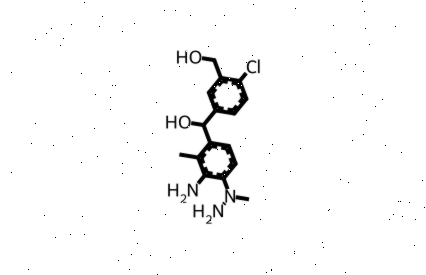 Cc1c(C(O)c2ccc(Cl)c(CO)c2)ccc(N(C)N)c1N